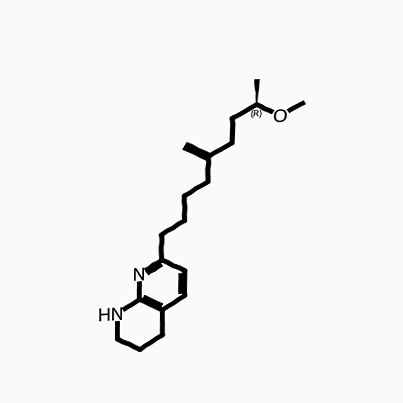 C=C(CCCCc1ccc2c(n1)NCCC2)CC[C@@H](C)OC